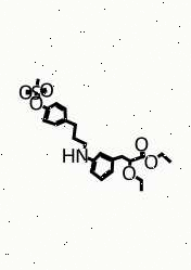 CCOC(=O)C(Cc1cccc(NCCCc2ccc(OS(C)(=O)=O)cc2)c1)OCC